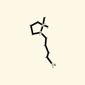 C[Si]1(C)CCCN1CCCCC#N